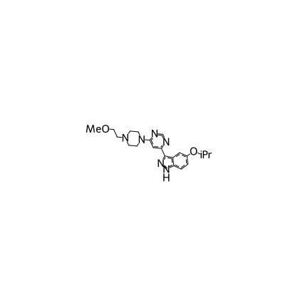 COCCN1CCN(c2cc(-c3n[nH]c4ccc(OC(C)C)cc34)ncn2)CC1